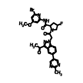 COc1cc(Br)nc(NC(=O)C2CC(F)CN2C(=O)Cn2nc(C(C)=O)c3cc(-c4cnc(C)nc4)ccc32)c1